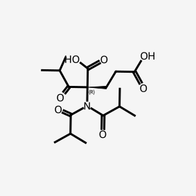 CC(C)C(=O)N(C(=O)C(C)C)[C@@](CCC(=O)O)(C(=O)O)C(=O)C(C)C